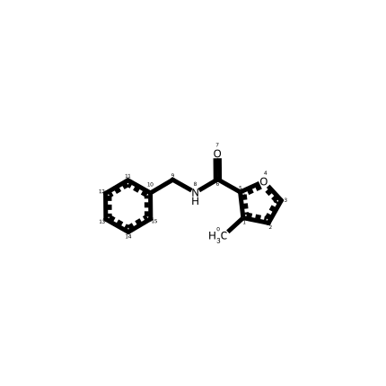 Cc1ccoc1C(=O)NCc1ccccc1